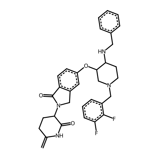 C=C1CCC(N2Cc3cc(OC4CN(Cc5cccc(F)c5F)CCC4NCc4ccccc4)ccc3C2=O)C(=O)N1